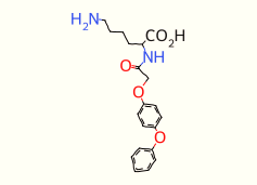 NCCCCC(NC(=O)COc1ccc(Oc2ccccc2)cc1)C(=O)O